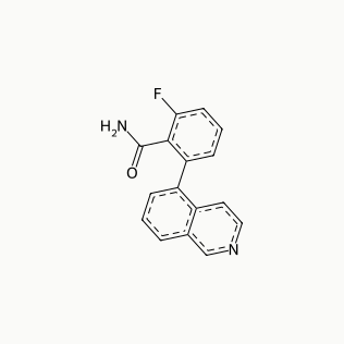 NC(=O)c1c(F)cccc1-c1cccc2cnccc12